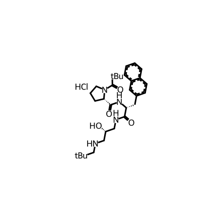 CC(C)(C)CNC[C@H](O)CNC(=O)[C@@H](Cc1ccc2ccccc2c1)NC(=O)[C@@H]1CCCN1C(=O)C(C)(C)C.Cl